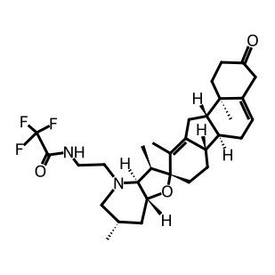 CC1=C2C[C@H]3[C@@H](CC=C4CC(=O)CC[C@@]43C)[C@@H]2CC[C@]12O[C@@H]1C[C@H](C)CN(CCNC(=O)C(F)(F)F)[C@H]1[C@H]2C